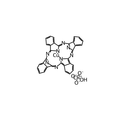 [O-][Cl+3]([O-])([O-])O.c1ccc2c(c1)C1=NC/2=N\c2c3ccccc3c3[n]2[Cu][n]2/c(c4ccccc4/c2=N/C2=N\C(=N/3)c3ccccc32)=N\1